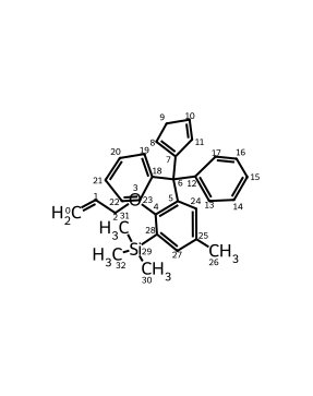 C=CCOc1c(C(C2=CCC=C2)(c2ccccc2)c2ccccc2)cc(C)cc1[Si](C)(C)C